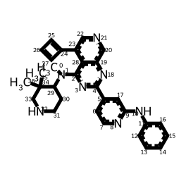 CN(c1nc(-c2ccnc(Nc3ccccc3)c2)nc2cncc(C3=CC=C3)c12)C1CCNCC1(C)C